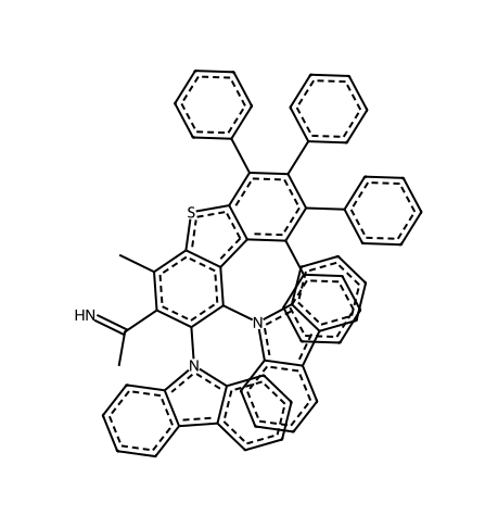 CC(=N)c1c(-n2c3ccccc3c3ccccc32)c(-n2c3ccccc3c3ccccc32)c2c(sc3c(-c4ccccc4)c(-c4ccccc4)c(-c4ccccc4)c(-c4ccccc4)c32)c1C